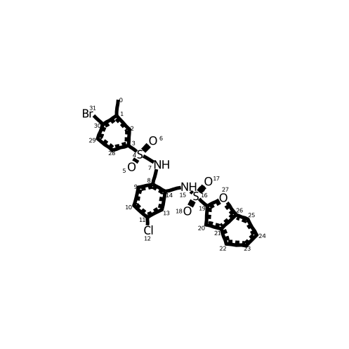 Cc1cc(S(=O)(=O)Nc2ccc(Cl)cc2NS(=O)(=O)c2cc3ccccc3o2)ccc1Br